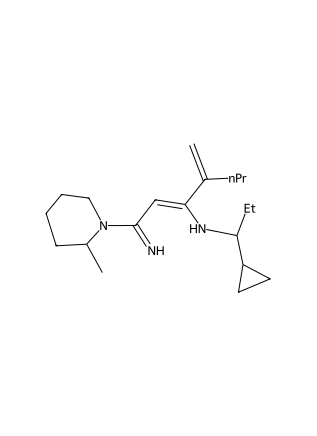 C=C(CCC)/C(=C/C(=N)N1CCCCC1C)NC(CC)C1CC1